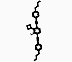 CCCCc1ccc(C#Cc2ccc(C#Cc3ccc(CCCC)cc3)c(C3CCC3)c2F)cc1